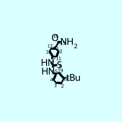 CC(C)(C)c1cccc(NC(=S)Nc2ccc(C(N)=O)cc2)c1